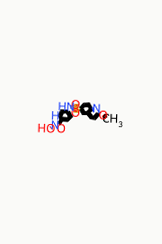 COc1ccc2cc(S(=O)(=O)Nc3ccc(C(=O)NO)cc3)ccc2n1